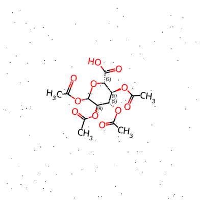 CC(=O)OC1O[C@H](C(=O)O)[C@@H](OC(C)=O)[C@H](OC(C)=O)[C@H]1OC(C)=O